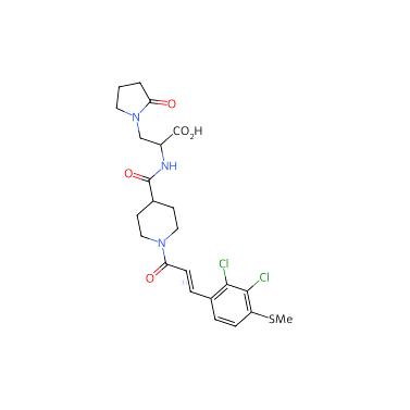 CSc1ccc(/C=C/C(=O)N2CCC(C(=O)NC(CN3CCCC3=O)C(=O)O)CC2)c(Cl)c1Cl